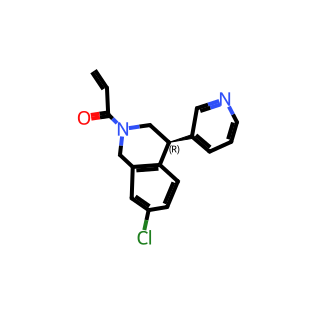 C=CC(=O)N1Cc2cc(Cl)ccc2[C@H](c2cccnc2)C1